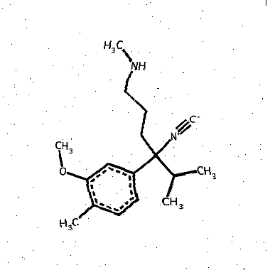 [C-]#[N+]C(CCCNC)(c1ccc(C)c(OC)c1)C(C)C